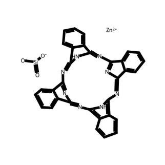 O=[Si]([O-])[O-].[Zn+2].c1ccc2c(c1)-c1nc-2nc2[nH]c(nc3nc(nc4[nH]c(n1)c1ccccc41)-c1ccccc1-3)c1ccccc21